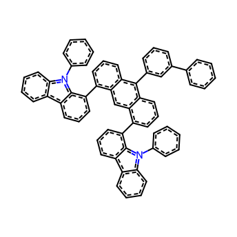 c1ccc(-c2cccc(-c3c4cccc(-c5cccc6c7ccccc7n(-c7ccccc7)c56)c4cc4c(-c5cccc6c7ccccc7n(-c7ccccc7)c56)cccc34)c2)cc1